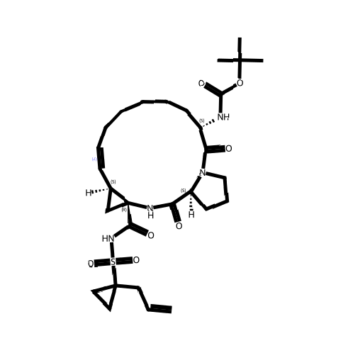 C=CCC1(S(=O)(=O)NC(=O)[C@@]23C[C@H]2/C=C\CCCCC[C@H](NC(=O)OC(C)(C)C)C(=O)N2CCC[C@H]2C(=O)N3)CC1